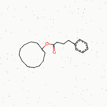 O=C(CCCc1ccccc1)OC1CCCCCCCCCCC1